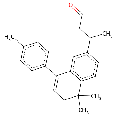 Cc1ccc(C2=CCC(C)(C)c3ccc(C(C)CC=O)cc32)cc1